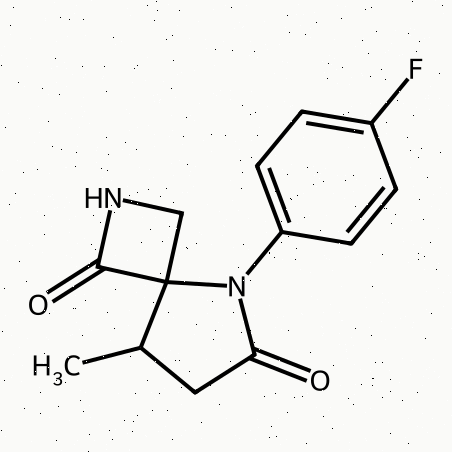 CC1CC(=O)N(c2ccc(F)cc2)C12CNC2=O